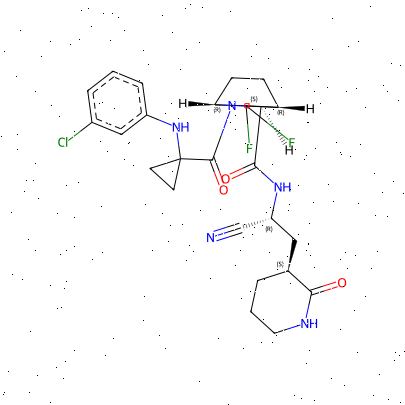 N#C[C@@H](C[C@@H]1CCCNC1=O)NC(=O)[C@@H]1[C@H]2CC[C@H](CC2(F)F)N1C(=O)C1(Nc2cccc(Cl)c2)CC1